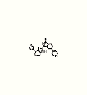 c1cc(-c2ccc3[nH]nc(-c4nc5c(-c6ccsc6)nccc5[nH]4)c3c2)ccn1